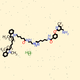 CN1/C(=C/C=C/C=C/C2=[N+](CCCCCC(=O)NCCCn3cc(CCCCNC(=O)c4cccc(Oc5cc(CN)cc(C(F)(F)F)n5)c4)nn3)c3ccccc3C2(C)C)C(C)(C)c2ccccc21.Cl.[Cl-]